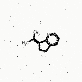 CC(C)=C1CCc2cccnc21